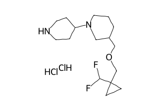 Cl.Cl.FC(F)C1(COCC2CCCN(C3CCNCC3)C2)CC1